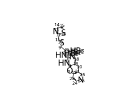 Br.Br.Br.O=c1[nH]c(NCCSCc2nccs2)ncc1Cc1cccnc1